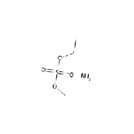 CCOS(=O)(=O)OC.N